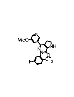 COc1cncc(-c2nn(-c3cc(F)ccc3C(F)(F)F)c(=O)c3c2CCN3)c1